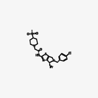 CC(C)[C@H]1c2nc(NC(=O)CN3CCC(S(C)(=O)=O)CC3)sc2CN1Cc1ccc(Cl)cc1